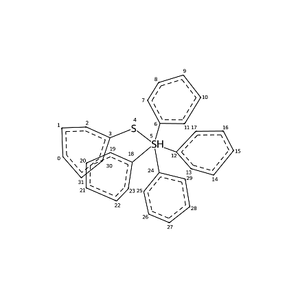 c1ccc(S[SH](c2ccccc2)(c2ccccc2)(c2ccccc2)c2ccccc2)cc1